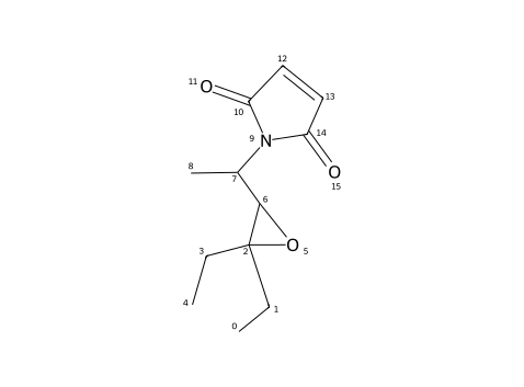 CCC1(CC)OC1C(C)N1C(=O)C=CC1=O